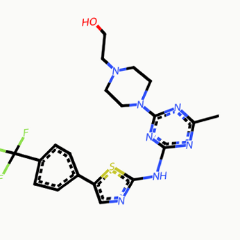 Cc1nc(Nc2ncc(-c3ccc(C(F)(F)F)cc3)s2)nc(N2CCN(CCO)CC2)n1